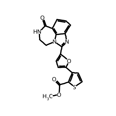 COC(=O)c1sccc1-c1ccc(-c2nc3cccc4c3n2CCNC4=O)o1